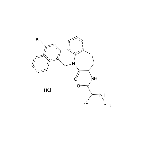 CNC(C)C(=O)NC1CCc2ccccc2N(Cc2ccc(Br)c3ccccc23)C1=O.Cl